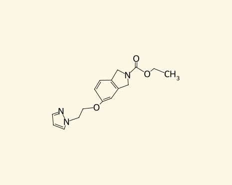 CCOC(=O)N1Cc2ccc(OCCn3cccn3)cc2C1